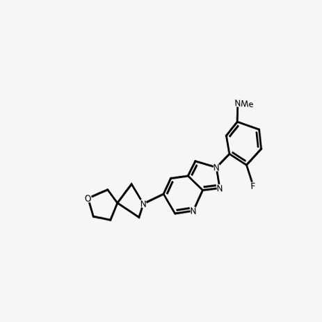 CNc1ccc(F)c(-n2cc3cc(N4CC5(CCOC5)C4)cnc3n2)c1